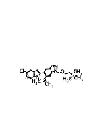 COc1cc2c(cnn2COCC[Si](C)(C)C)cc1-c1cc2cc(Cl)ncc2n1C